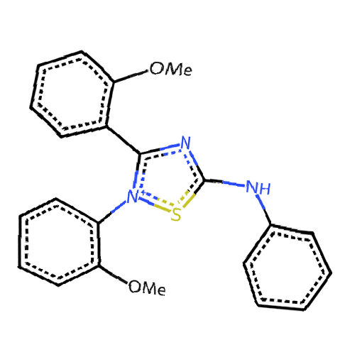 COc1ccccc1-c1nc(Nc2ccccc2)s[n+]1-c1ccccc1OC